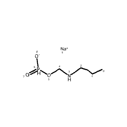 CCCNCO[PH](=O)[O-].[Na+]